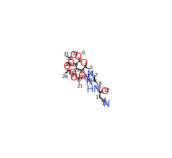 COC1OC(Cn2cc(CNC(=O)CC#N)nn2)C(OC(C)=O)C(OC(C)=O)C1OC(C)=O